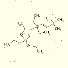 CCO[Si](C=C[Si](C=C[Si](C)(C)C)(CC)CC)(OCC)OCC